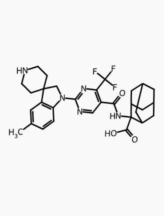 Cc1ccc2c(c1)C1(CCNCC1)CN2c1ncc(C(=O)NC2(C(=O)O)C3CC4CC(C3)CC2C4)c(C(F)(F)F)n1